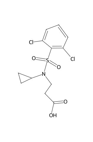 O=C(O)CCN(C1CC1)S(=O)(=O)c1c(Cl)cccc1Cl